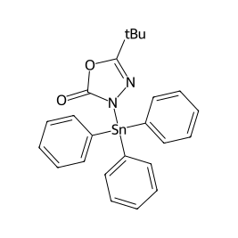 CC(C)(C)c1n[n]([Sn]([c]2ccccc2)([c]2ccccc2)[c]2ccccc2)c(=O)o1